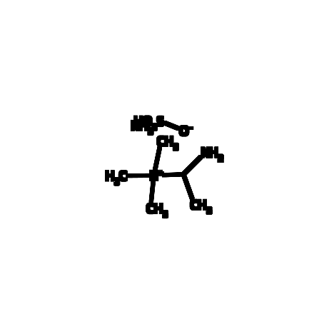 CC(N)[N+](C)(C)C.N.O=S(=O)([O-])O